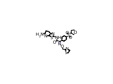 Nc1ccc2nc(NC(=O)/C(=N/OCc3nccs3)c3ccc(S(=O)(=O)[C@H]4CCOC4)cc3)sc2n1